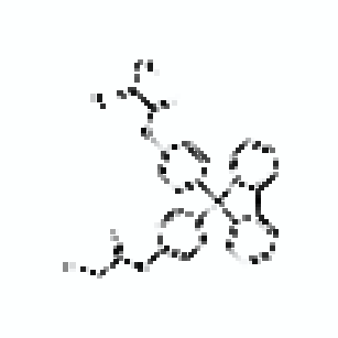 C=C(C)C(=O)Oc1ccc(C2(c3ccc(OC(=O)CC)cc3)c3ccccc3-c3ccccc32)cc1